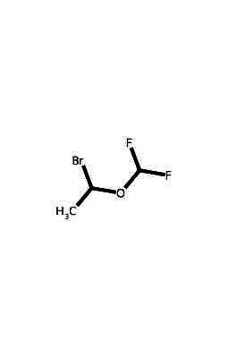 CC(Br)OC(F)F